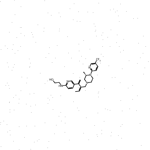 C=C(/C(=C\C)CN1CCN(c2ccc(C(F)(F)F)cn2)[C@H](C)C1)c1ccc(NCCO)nc1